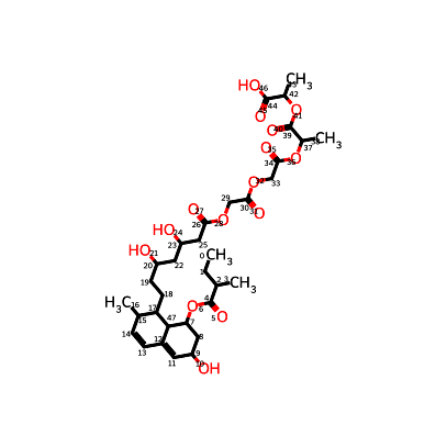 CCC(C)C(=O)OC1CC(O)C=C2C=CC(C)C(CCC(O)CC(O)CC(=O)OCC(=O)OCC(=O)OC(C)C(=O)OC(C)C(=O)O)C21